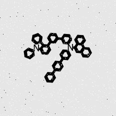 C1=Cc2cc(N(c3ccc(-c4ccc(-c5ccccc5)cc4)cc3)c3cccc(-c4cccc(-c5cccc6c5c5ccccc5n6-c5ccccc5)c4)c3)c3ccccc3c2CC1